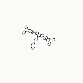 c1ccc(-c2cc3nc(-c4ccc5c6ccc(-c7nc8cc(-c9ccccc9)c(-c9ccccc9)cc8s7)cc6n(-c6ccc(-c7ccc8ccccc8c7)cc6)c5c4)sc3cc2-c2ccccc2)cc1